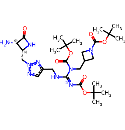 CC(C)(C)OC(=O)/N=C(/NCc1cnn(C[C@H]2NC(=O)[C@H]2N)n1)N(CC1CN(C(=O)OC(C)(C)C)C1)C(=O)OC(C)(C)C